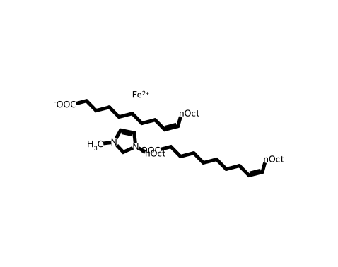 CCCCCCCC/C=C\CCCCCCCC(=O)[O-].CCCCCCCC/C=C\CCCCCCCC(=O)[O-].CCCCCCCCN1C=CN(C)C1.[Fe+2]